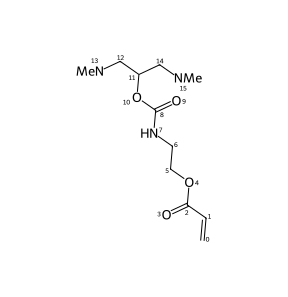 C=CC(=O)OCCNC(=O)OC(CNC)CNC